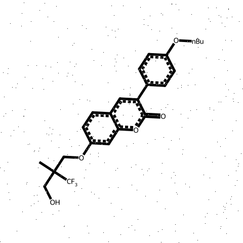 CCCCOc1ccc(-c2cc3ccc(OCC(C)(CO)C(F)(F)F)cc3oc2=O)cc1